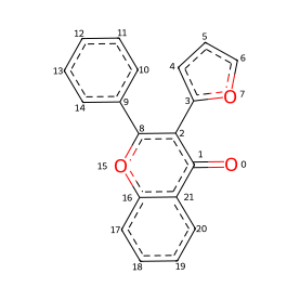 O=c1c(-c2ccco2)c(-c2ccccc2)oc2ccccc12